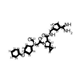 N=C(N)c1csc(CNC(=O)C2CC3(CC3)CN2C(=O)CN(C=O)c2ccc(Oc3ccccc3)cc2)c1